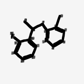 Cc1cccnc1CC(C)c1ccccc1F